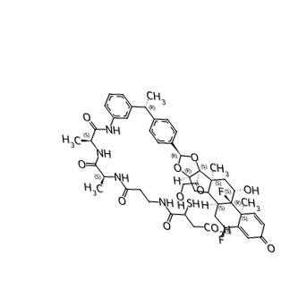 C[C@H](c1ccc([C@@H]2O[C@@H]3CC4[C@@H]5C[C@H](F)C6=CC(=O)C=C[C@]6(C)[C@@]5(F)[C@@H](O)C[C@]4(C)[C@]3(C(=O)CO)O2)cc1)c1cccc(NC(=O)[C@H](C)NC(=O)[C@H](C)NC(=O)CCNC(=O)C(S)CC(=O)O)c1